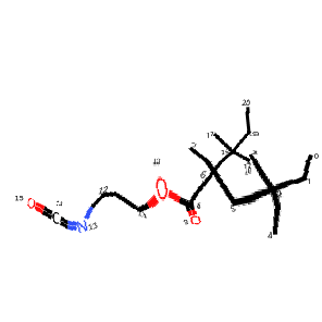 CCC(C)(C)CC(C)(C(=O)OCCN=C=O)C(C)(C)CC